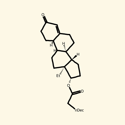 CCCCCCCCCCCC(=O)O[C@H]1CC[C@H]2[C@@H]3CCC4=CC(=O)CC[C@@H]4[C@H]3CC[C@]12CC